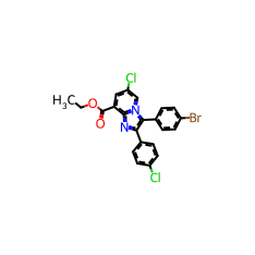 CCOC(=O)c1cc(Cl)cn2c(-c3ccc(Br)cc3)c(-c3ccc(Cl)cc3)nc12